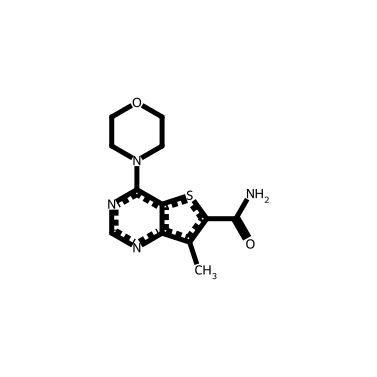 Cc1c(C(N)=O)sc2c(N3CCOCC3)ncnc12